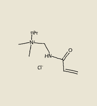 C=CC(=O)NC[N+](C)(C)CCC.[Cl-]